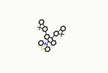 CC1(C)c2ccccc2-c2ccc(-c3ccc4c(N5c6ccccc6Sc6ccccc65)c5ccccc5c(-c5ccc6c(c5)C(C)(C)c5ccccc5-6)c4c3)cc21